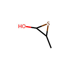 CC1SC1O